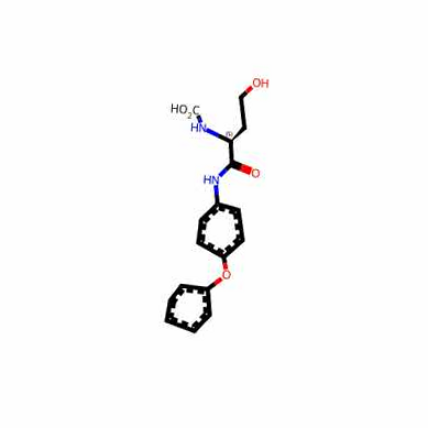 O=C(O)N[C@@H](CCO)C(=O)Nc1ccc(Oc2ccccc2)cc1